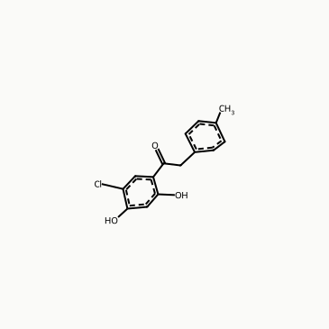 Cc1ccc(CC(=O)c2cc(Cl)c(O)cc2O)cc1